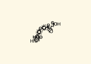 O=C(O)CC[C@H]1COCCN1C(=O)c1ccc(Oc2ccc(N3C[C@@H]4CNCCN4C3=O)cc2)cc1